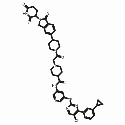 O=C1CCC(N2Cc3cc(C4CCN(C(=O)CN5CCC(C(=O)Nc6cncc(Nc7ncc(Cl)c(-c8cccc(C9CC9)c8)n7)c6)CC5)CC4)ccc3C2=O)C(=O)N1